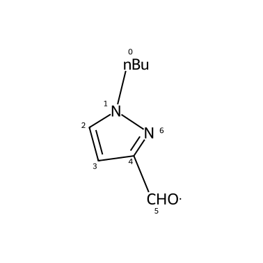 CCCCn1ccc([C]=O)n1